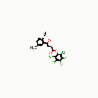 Cc1ccc(C)c(C(=O)CCC(=O)Oc2c(Cl)c(Cl)c(Cl)c(Cl)c2Cl)c1